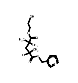 CCC(C)(CC(C)(C)C(=O)OCCO)C(=O)OCc1ccccc1